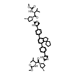 COC(=O)N[C@H](C(=O)N1C[C@H](C)C[C@H]1c1ncc(-c2ccc(-c3ccc(-c4ccc(-c5cnc([C@@H]6C[C@@H](C)CN6C(=O)[C@@H](NC(=O)OC)C(C)C)[nH]5)cc4)c4c3CCC43CCCC3)cc2)[nH]1)C(C)C